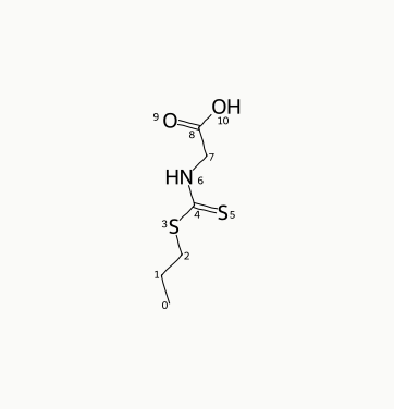 CCCSC(=S)NCC(=O)O